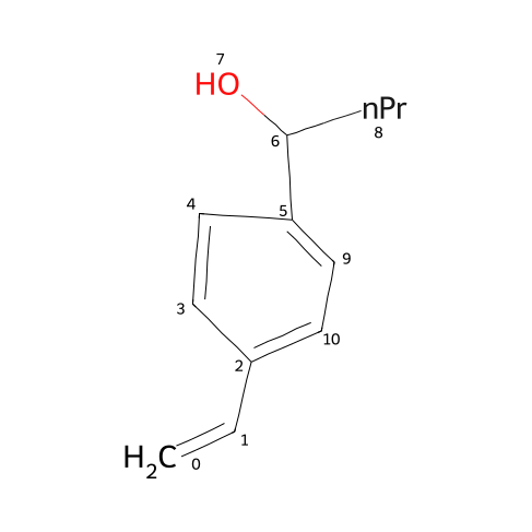 C=Cc1ccc(C(O)CCC)cc1